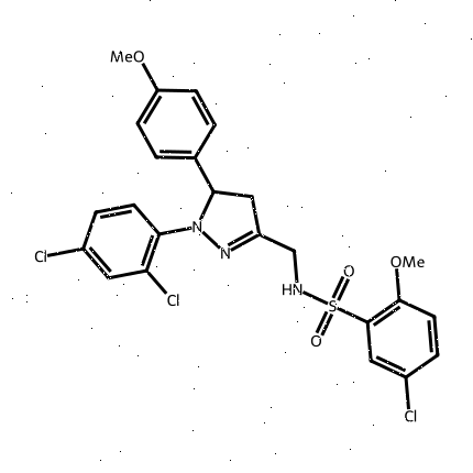 COc1ccc(C2CC(CNS(=O)(=O)c3cc(Cl)ccc3OC)=NN2c2ccc(Cl)cc2Cl)cc1